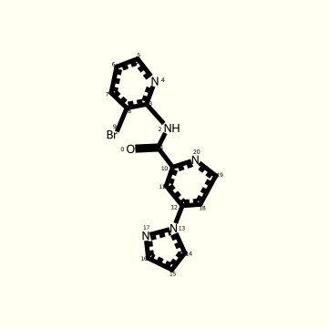 O=C(Nc1ncccc1Br)c1cc(-n2cccn2)ccn1